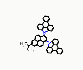 CC(C)c1cc2ccc3c(-n4c5cccc6c7ccccc7c7cccc4c7c65)cc(-n4c5cccc6c7ccccc7c7cccc4c7c65)c4ccc(c1)c2c34